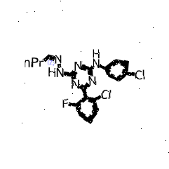 CCC/C=N\Nc1nc(Nc2ccc(Cl)cc2)nc(-c2c(F)cccc2Cl)n1